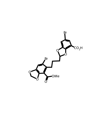 COC(=O)c1c(CCCC2Oc3cc(Br)cc(C(=O)O)c3O2)c(Br)cc2c1OCO2